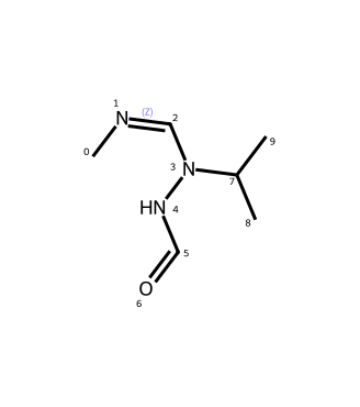 C/N=C\N(NC=O)C(C)C